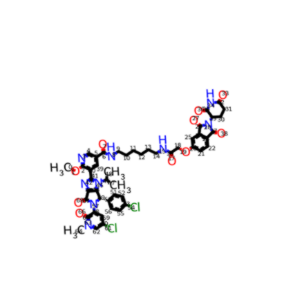 COc1ncc(C(=O)NCCCCCCNC(=O)COc2ccc3c(c2)C(=O)N(C2CCC(=O)NC2=O)C3=O)cc1-c1nc2c(n1C(C)C)[C@H](c1ccc(Cl)cc1)N(c1cc(Cl)cn(C)c1=O)C2=O